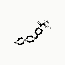 C[C@H](N)C(=O)N1CCC(CN2CCN(N3CCNCC3)CC2)CC1